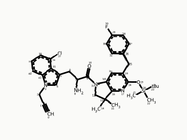 C#CCn1cc(CC(N)C(=O)N2CC(C)(C)c3nc(O[Si](C)(C)C(C)(C)C)c(Cc4ccc(F)cc4)cc32)c2c(Cl)cccc21